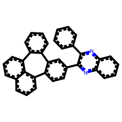 c1ccc(-c2nc3ccccc3nc2-c2ccc3c(c2)-c2ccccc2-c2cccc4cccc-3c24)cc1